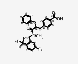 CN(Cc1cc(F)ccc1C(F)(F)F)C(=O)C(Cc1ccc(C(=O)O)cc1)Sc1ccccc1